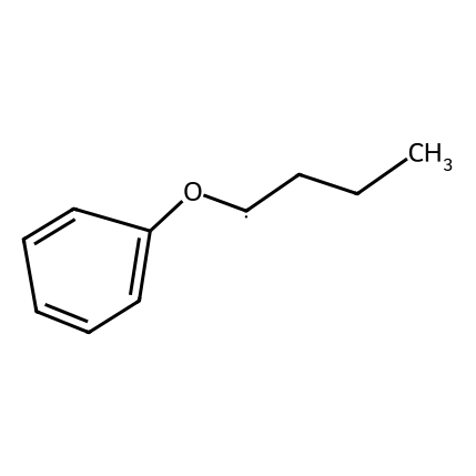 CCC[CH]Oc1ccccc1